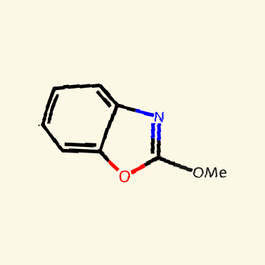 COc1nc2cc[c]cc2o1